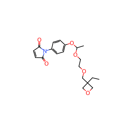 CCC1(COCCOC(C)Oc2ccc(N3C(=O)C=CC3=O)cc2)COC1